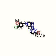 CCOc1cc(CN2CCC(Nc3nccc(C(=O)OC)n3)CC2)ccc1Cl